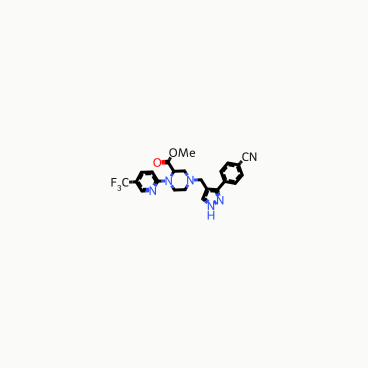 COC(=O)C1CN(Cc2c[nH]nc2-c2ccc(C#N)cc2)CCN1c1ccc(C(F)(F)F)cn1